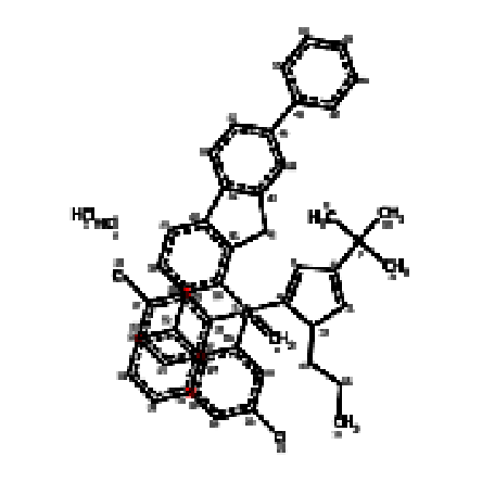 Cl.Cl.[CH2]=[Zr]([C]1=CC(C(C)(C)C)=CC1CCC)([c]1cccc(Cl)c1)([c]1cccc(Cl)c1)[c]1c(-c2ccccc2)ccc2c1Cc1cc(-c3ccccc3)ccc1-2